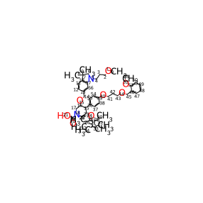 COCCCN1CC(C)(C)c2ccc(CO[C@H]3CN(C(=O)O)C[C@@H](O[Si](C(C)C)(C(C)C)C(C)C)[C@@H]3c3ccc(OCCCOCc4ccccc4OC)cc3)cc21